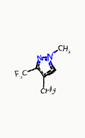 Cc1cn(C)nc1C(F)(F)F